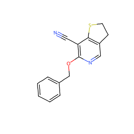 N#Cc1c(OCc2ccccc2)ncc2c1SCC2